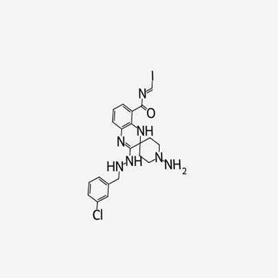 NN1CCC2(CC1)Nc1c(cccc1C(=O)N=CI)N=C2NNCc1cccc(Cl)c1